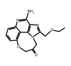 CCOCc1nc2c(N)nc3cccc4c3c2n1CC(=O)CO4